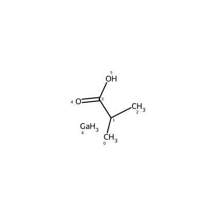 CC(C)C(=O)O.[GaH3]